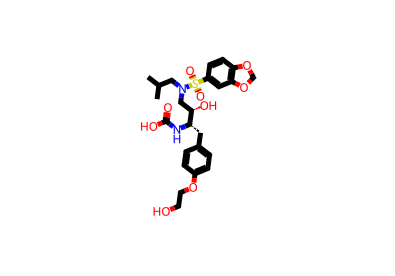 CC(C)CN(C[C@H](O)[C@H](Cc1ccc(OCCO)cc1)NC(=O)O)S(=O)(=O)c1ccc2c(c1)OCO2